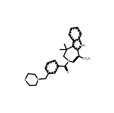 CC1(C)CN(C(=O)c2cccc(CN3CCOCC3)c2)C=C(C(=O)O)c2[nH]c3ccccc3c21